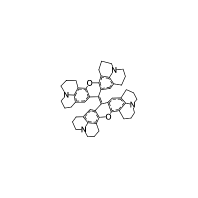 c1c2c3c(c4c1C(=C1c5cc6c7c(c5Oc5c1cc1c8c5CCCN8CCC1)CCCN7CCC6)c1cc5c6c(c1O4)CCCN6CCC5)CCCN3CCC2